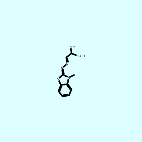 [CH2]CCC(C=NN=c1sc2ccccc2n1C)S(=O)(=O)O